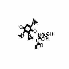 C=CC(=O)OC(C)OP(=O)(O)O.O=C1C=C(N2CC2)C(=O)C(N2CC2)=C1N1CC1